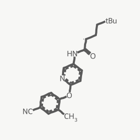 Cc1cc(C#N)ccc1Oc1ccc(NC(=O)[CH]CCC(C)(C)C)cn1